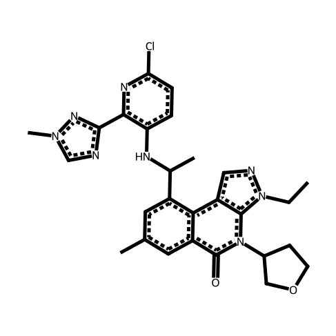 CCn1ncc2c3c(C(C)Nc4ccc(Cl)nc4-c4ncn(C)n4)cc(C)cc3c(=O)n(C3CCOC3)c21